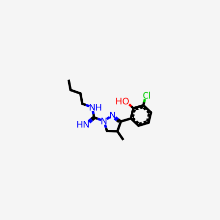 CCCCNC(=N)N1CC(C)C(c2cccc(Cl)c2O)=N1